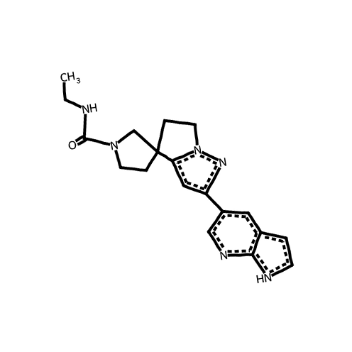 CCNC(=O)N1CCC2(CCn3nc(-c4cnc5[nH]ccc5c4)cc32)C1